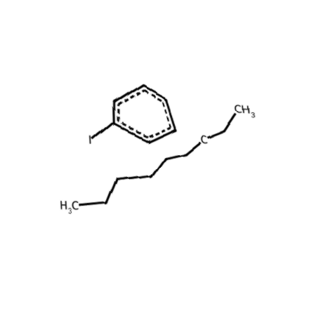 CCCCCCCCC.Ic1ccccc1